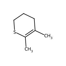 CC1=C(C)SCCC1